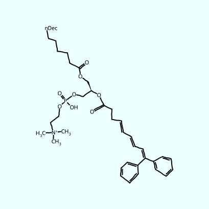 CCCCCCCCCCCCCCCC(=O)OC[C@H](COP(=O)(O)OCC[N+](C)(C)C)OC(=O)CCC=CC=CC=C(c1ccccc1)c1ccccc1